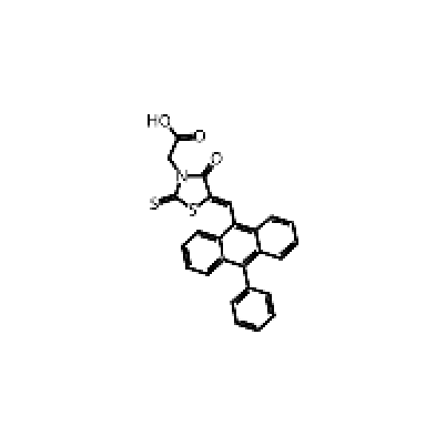 O=C(O)CN1C(=O)/C(=C/c2c3ccccc3c(-c3ccccc3)c3ccccc23)SC1=S